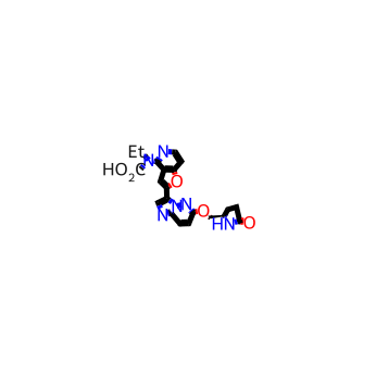 CCN(C(=O)O)c1nccc2oc(-c3cnc4ccc(OC[C@H]5CCC(=O)N5)nn34)cc12